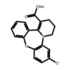 COC(=O)C1=C2c3ccccc3Oc3ccc(Cl)cc3N2CCC1